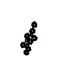 c1ccc(-c2ccc(N(c3ccccc3)c3cccc4oc5c(-n6c7ccccc7c7c8ccccc8ccc76)cccc5c34)cc2)cc1